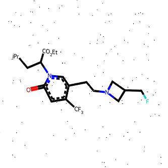 CCOC(=O)C(CC(C)C)n1cc(CCN2CC(CF)C2)c(C(F)(F)F)cc1=O